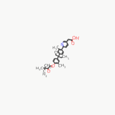 CCC(CC)(c1ccc(OCC(=O)C(C)(C)C)c(C)c1)c1ccc(-c2ccc(CC(=O)O)cn2)c(C)c1